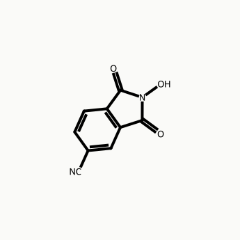 N#Cc1ccc2c(c1)C(=O)N(O)C2=O